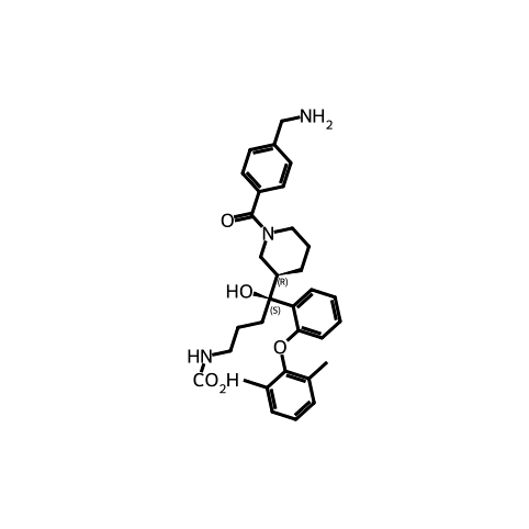 Cc1cccc(C)c1Oc1ccccc1[C@](O)(CCCNC(=O)O)[C@@H]1CCCN(C(=O)c2ccc(CN)cc2)C1